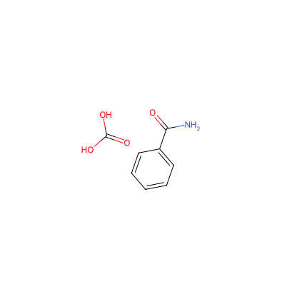 NC(=O)c1ccccc1.O=C(O)O